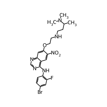 CC(CCNCCOc1cc2ncnc(Nc3ccc(Br)cc3F)c2cc1[N+](=O)[O-])N(C)C